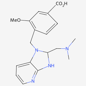 COc1cc(C(=O)O)ccc1CN1c2cccnc2NC1CN(C)C